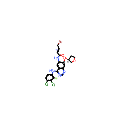 O=C(/C=C/CBr)Nc1cc2c(Nc3ccc(Cl)c(Cl)c3F)ncnc2cc1O[C@H]1CCOC1